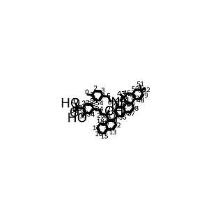 Cc1ccc(CCNc2cc(-c3ccc4ccccc4c3C(O)C=Cc3ccc(C(=O)O)c(O)c3)cc3ccc4c(c23)C(C)(C)CC2=C4C=CC(C)(C)C2)cc1